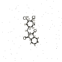 O=C1c2ccccc2C(=O)N1Cc1cnc(Cl)c(Cl)c1